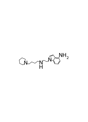 Nc1cccc2c1ccn2CCNCCCCN1CCCCC1